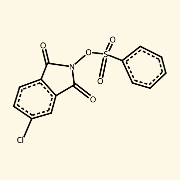 O=C1c2ccc(Cl)cc2C(=O)N1OS(=O)(=O)c1ccccc1